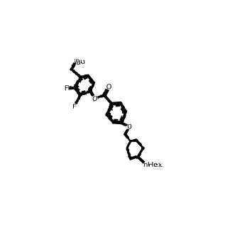 CCCCCCC1CCC(COc2ccc(C(=O)Oc3ccc(CC(C)CC)c(F)c3F)cc2)CC1